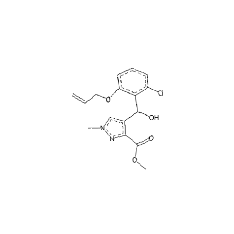 C=CCOc1cccc(Cl)c1C(O)c1cn(C)nc1C(=O)OC